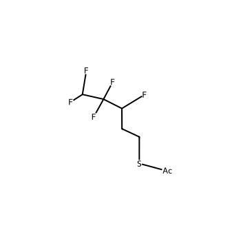 CC(=O)SCCC(F)C(F)(F)C(F)F